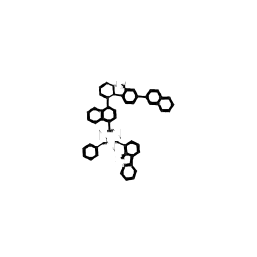 C1=CC2Oc3cc(-c4ccc5ccccc5c4)ccc3C2C(c2ccc(-c3nc(-c4ccccc4)nc(-c4cccc5c4oc4ccccc45)n3)c3ccccc23)=C1